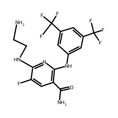 NCCNc1nc(Nc2cc(C(F)(F)F)cc(C(F)(F)F)c2)c(C(N)=O)cc1F